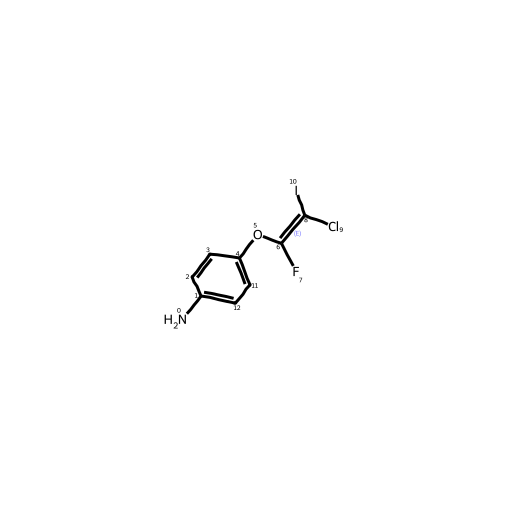 Nc1ccc(O/C(F)=C(/Cl)I)cc1